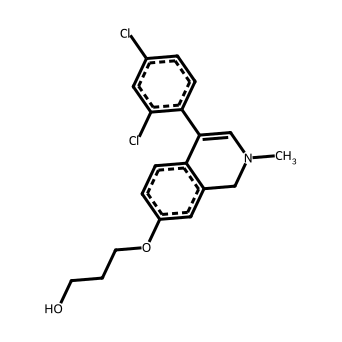 CN1C=C(c2ccc(Cl)cc2Cl)c2ccc(OCCCO)cc2C1